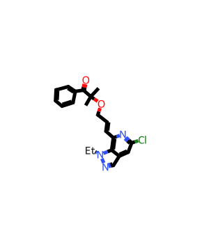 CCn1ncc2cc(Cl)nc(C=CCOC(C)(C)C(=O)c3ccccc3)c21